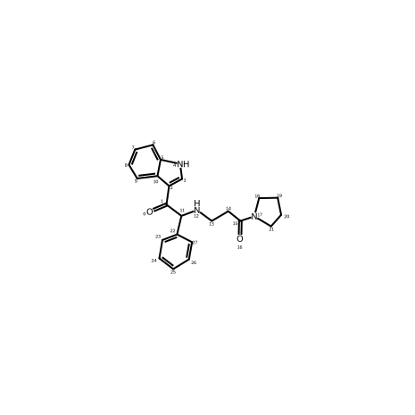 O=C(c1c[nH]c2ccccc12)C(NCCC(=O)N1CCCC1)c1ccccc1